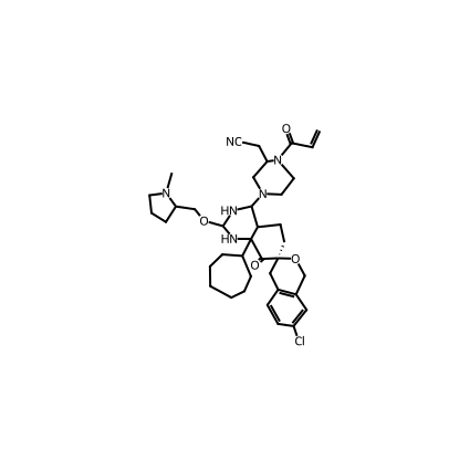 C=CC(=O)N1CCN(C2NC(OCC3CCCN3C)NC3(C4CCCCCC4)C(=O)[C@]4(CCC23)Cc2ccc(Cl)cc2CO4)CC1CC#N